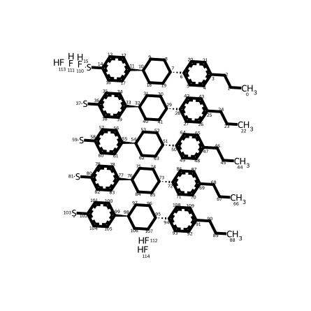 CCCc1ccc([C@H]2CC[C@H](c3ccc([S])cc3)CC2)cc1.CCCc1ccc([C@H]2CC[C@H](c3ccc([S])cc3)CC2)cc1.CCCc1ccc([C@H]2CC[C@H](c3ccc([S])cc3)CC2)cc1.CCCc1ccc([C@H]2CC[C@H](c3ccc([S])cc3)CC2)cc1.CCCc1ccc([C@H]2CC[C@H](c3ccc([S])cc3)CC2)cc1.F.F.F.F.F